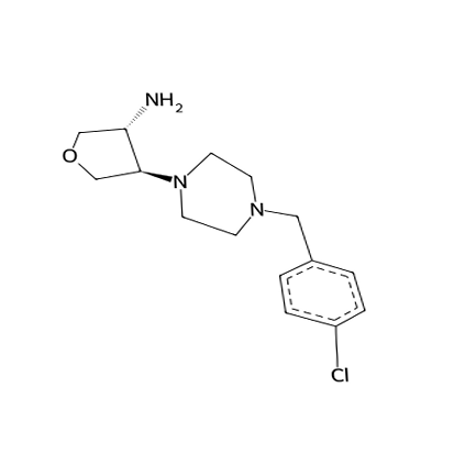 N[C@H]1COC[C@@H]1N1CCN(Cc2ccc(Cl)cc2)CC1